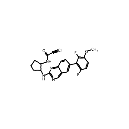 C#CC(=O)NC1CCCC1Nc1ncc2cc(-c3c(F)ccc(OC)c3F)ccc2n1